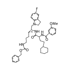 COc1cccc(C(=O)NC(CCC2CCCCC2)C(=O)N[C@@H](CCCCNC(=O)OCc2ccccc2)CN2CCc3cc(F)ccc32)c1